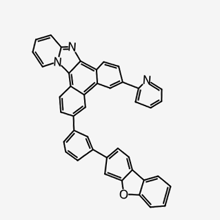 c1ccc(-c2ccc3c(c2)c2cc(-c4cccc(-c5ccc6c(c5)oc5ccccc56)c4)ccc2c2c3nc3ccccn32)nc1